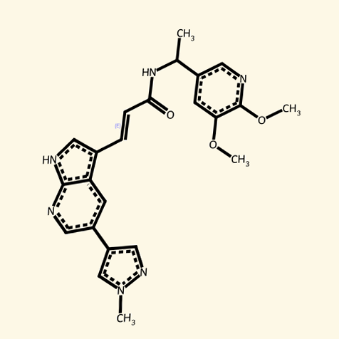 COc1cc(C(C)NC(=O)/C=C/c2c[nH]c3ncc(-c4cnn(C)c4)cc23)cnc1OC